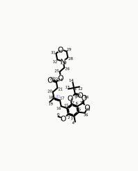 COc1c(C)c2c(c(OC(=O)C(C)(C)C)c1C/C=C(\C)CCC(=O)OCCN1CCOCC1)C(=O)OC2